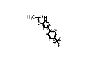 CC(=O)Oc1cc(-c2ccc(C(F)(F)F)cc2)n[nH]1